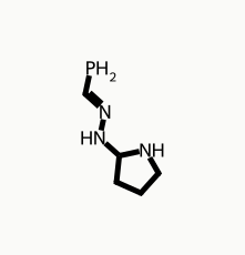 PC=NNC1CCCN1